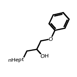 CCCCCCCCC(O)COc1ccccc1